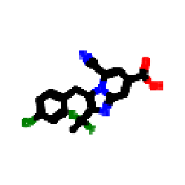 CC(F)(F)c1nc2cc(C(=O)O)cc(C#N)n2c1Cc1ccc(Cl)cc1